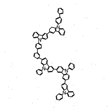 C1=C(c2ccc3c(c2)c2ccccc2n3-c2ccc(-c3cccc(-c4ccc5c6cc(-c7ccc8c(c7)c7cc(-c9ccc%10c(c9)c9ccccc9n%10-c9ccccc9)ccc7n8-c7ccccc7)ccc6n(-c6ccccc6)c5c4)c3)cc2)CCc2c1c1ccccc1n2-c1ccc(-c2ccccc2)cc1